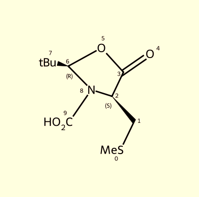 CSC[C@@H]1C(=O)O[C@H](C(C)(C)C)N1C(=O)O